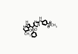 Cc1cnc2[nH]cc(C(c3cnc(Nc4ccc(S(C)(=O)=O)cc4)nc3)S(=O)(=O)c3ccccc3)c2c1